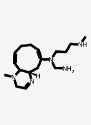 CNCCCN(CN)C1=CCC/C=C\C2[C@H](C1)N=CCN2C